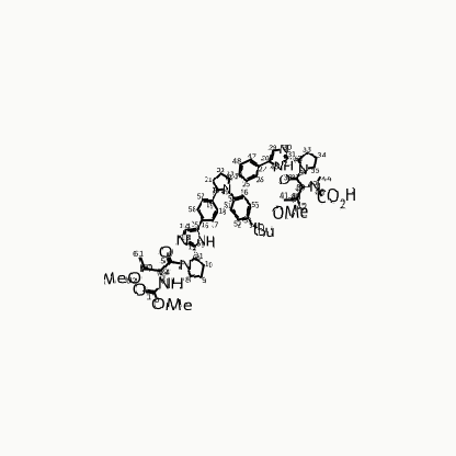 COC(=O)N[C@@H](C(=O)N1CCC[C@H]1c1ncc(-c2ccc([C@H]3CC[C@H](c4ccc(-c5cnc([C@@H]6CCCN6C(=O)[C@H]([C@H](C)OC)N(C)C(=O)O)[nH]5)cc4)N3c3ccc(C(C)(C)C)cc3)cc2)[nH]1)[C@H](C)OC